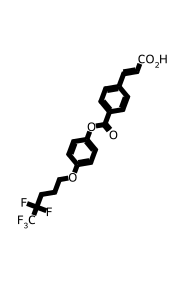 O=C(O)/C=C/c1ccc(C(=O)Oc2ccc(OCCCC(F)(F)C(F)(F)F)cc2)cc1